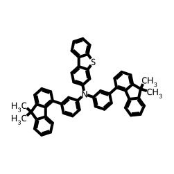 CC1(C)c2ccccc2-c2c(-c3cccc(N(c4cccc(-c5cccc6c5-c5ccccc5C6(C)C)c4)c4ccc5c(c4)sc4ccccc45)c3)cccc21